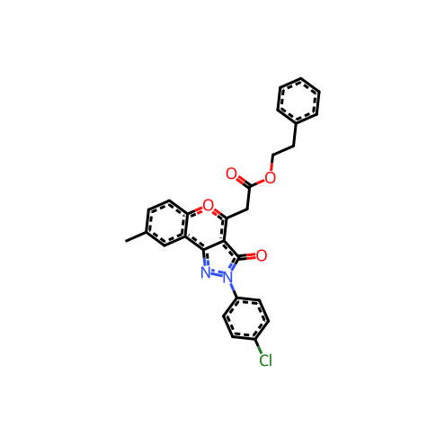 Cc1ccc2oc(CC(=O)OCCc3ccccc3)c3c(=O)n(-c4ccc(Cl)cc4)nc-3c2c1